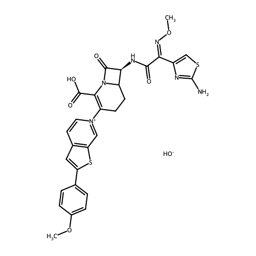 CON=C(C(=O)N[C@@H]1C(=O)N2C(C(=O)O)=C([n+]3ccc4cc(-c5ccc(OC)cc5)sc4c3)CCC12)c1csc(N)n1.[OH-]